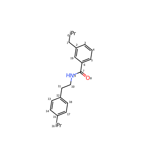 CC(C)Cc1cccc(C(=O)NCCc2ccc(C(C)C)cc2)c1